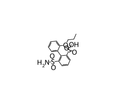 CCCOc1ccccc1-c1c(S(N)(=O)=O)cccc1S(=O)(=O)O